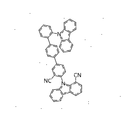 N#Cc1cc(-c2ccc(-c3ccccc3-n3c4ccccc4c4ccccc43)cc2)ccc1-n1c2ccccc2c2cccc(C#N)c21